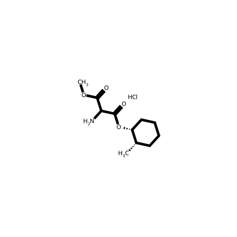 COC(=O)C(N)C(=O)O[C@@H]1CCCC[C@@H]1C.Cl